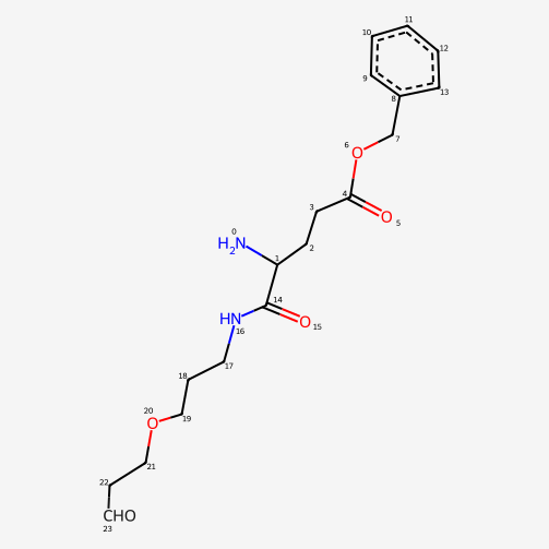 NC(CCC(=O)OCc1ccccc1)C(=O)NCCCOCCC=O